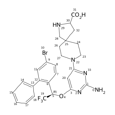 Nc1nc(O[C@H](c2ccc(Br)cc2-c2ccccc2)C(F)(F)F)cc(N2CCC3(CC2)CNC(C(=O)O)C3)n1